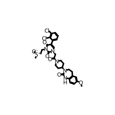 COc1ccc2c(c1)CCN(C1CCN(C(=O)Cn3cc(-c4cccc(Cl)c4Cl)c(=O)n(CC[S+](C)[O-])c3=O)CC1)C(=O)N2